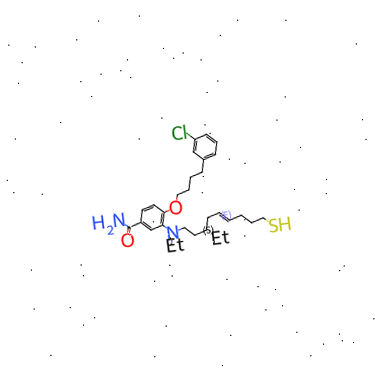 CC[C@@H](C/C=C/CCCS)CCN(CC)c1cc(C(N)=O)ccc1OCCCCc1cccc(Cl)c1